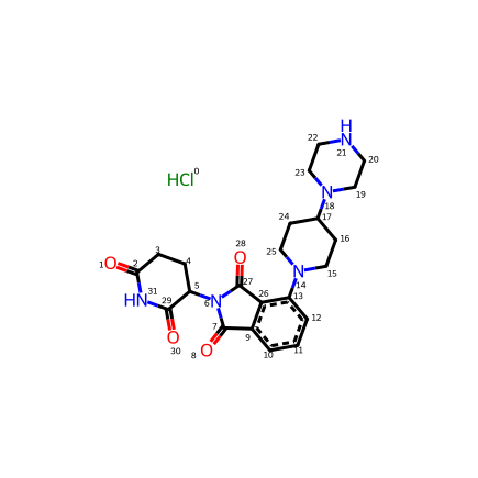 Cl.O=C1CCC(N2C(=O)c3cccc(N4CCC(N5CCNCC5)CC4)c3C2=O)C(=O)N1